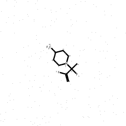 C=C(F)C(C)(F)N1CCC(C(F)(F)F)CC1